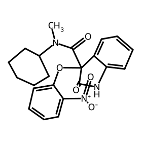 CN(C(=O)C1(Oc2ccccc2[N+](=O)[O-])C(=O)Nc2ccccc21)C1CCCCC1